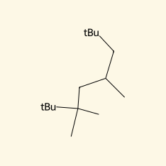 CC(CC(C)(C)C)CC(C)(C)C(C)(C)C